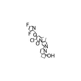 Cc1cnc(-c2ccc3c(n2)[C@H](O)CC3)cc1-n1c(C)cc(OCc2ncc(F)cc2F)c(Cl)c1=O